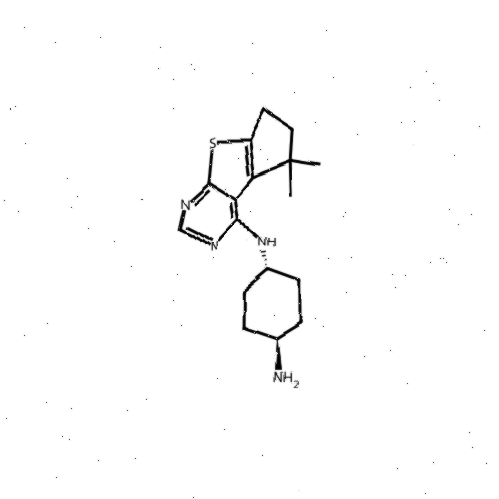 CC1(C)CCc2sc3ncnc(N[C@H]4CC[C@H](N)CC4)c3c21